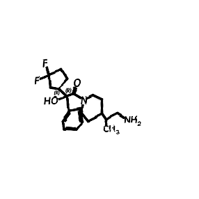 CC(CN)C1CCN(C(=O)[C@](O)(c2ccccc2)[C@@H]2CCC(F)(F)C2)CC1